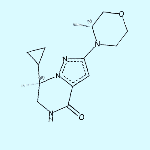 C[C@@H]1COCCN1c1cc2n(n1)[C@](C)(C1CC1)CNC2=O